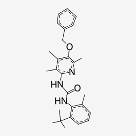 Cc1cccc(C(C)(C)C)c1NC(=O)Nc1nc(C)c(OCc2ccccc2)c(C)c1C